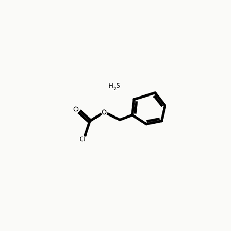 O=C(Cl)OCc1ccccc1.S